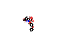 O=C(O)[C@@H](NS(=O)(=O)c1ccc(Oc2ccccc2)cc1)[C@@H](O)c1ccc2c(c1)OCO2